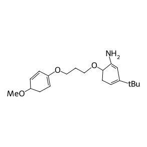 COC1C=CC(OCCCOC2CC=C(C(C)(C)C)C=C2N)=CC1